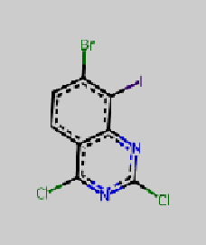 Clc1nc(Cl)c2ccc(Br)c(I)c2n1